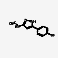 O=CNc1cc(-c2ccc(Br)cc2)[nH]n1